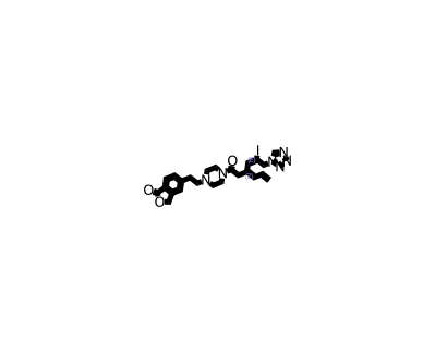 C=C/C=C(\C=C(\I)Cn1cnnn1)CC(=O)N1CCN(CCc2ccc3c(c2)COC3=O)CC1